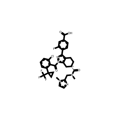 CN(Cc1nccn1C)C(=O)[C@H]1CCc2c(-c3ccc(C(=O)O)cc3F)nn(C(=O)c3c(Cl)cccc3C3(C(F)(F)F)CC3)c2C1